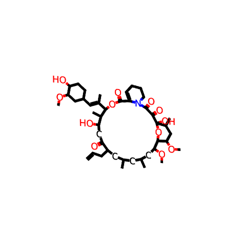 C=CCC1CC(C)CC(C)CC(OC)C2OC(O)(C(=O)C(=O)N3CCCC=C3C(=O)OC(C(C)=CC3CCC(O)C(OC)C3)C(C)C(O)CC1=O)C(C)CC2OC